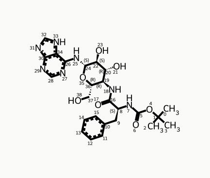 CC(C)(C)OC(=O)N[C@@H](Cc1ccccc1)C(=O)N[C@@H]1[C@@H](O)[C@H](O)[C@@H](Nc2ncnc3nc[nH]c23)O[C@H]1CO